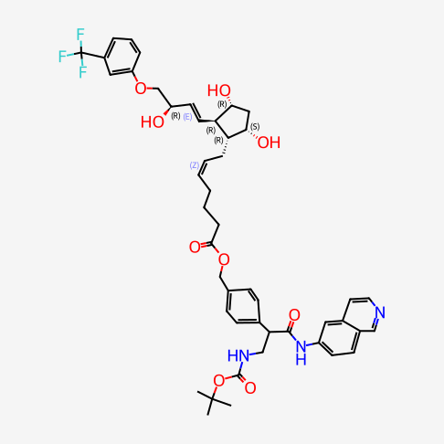 CC(C)(C)OC(=O)NCC(C(=O)Nc1ccc2cnccc2c1)c1ccc(COC(=O)CCC/C=C\C[C@@H]2[C@@H](/C=C/[C@@H](O)COc3cccc(C(F)(F)F)c3)[C@H](O)C[C@@H]2O)cc1